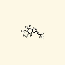 C[C@H]1Nc2cc(C=CC(=O)O)cnc2NC(=O)[C@H]1O